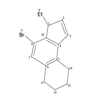 CCC1C=Cc2c3c(cc(Br)c21)CCCC3